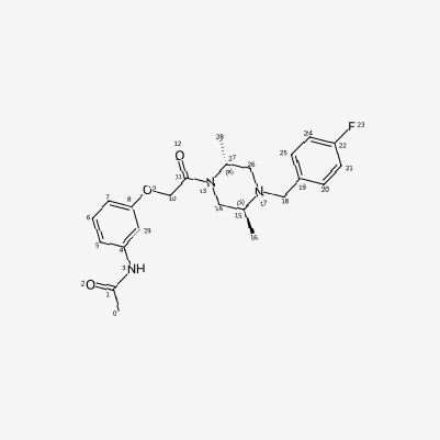 CC(=O)Nc1cccc(OCC(=O)N2C[C@H](C)N(Cc3ccc(F)cc3)C[C@H]2C)c1